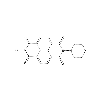 C=C1C(=O)N(C(C)C)C(=O)C2=CC=C3C(=O)N(N4CCCCC4)C(=O)C(=C)C3C12